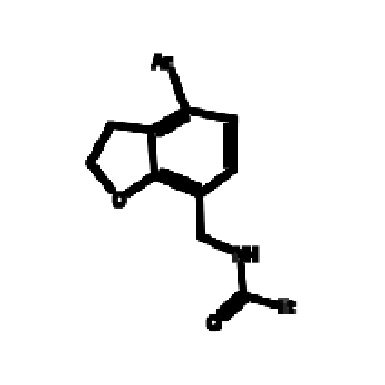 CCC(=O)NCc1ccc(C(C)=O)c2c1OCC2